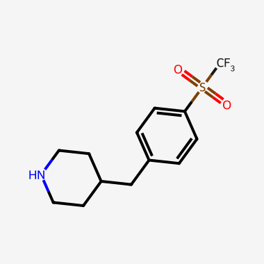 O=S(=O)(c1ccc(CC2CCNCC2)cc1)C(F)(F)F